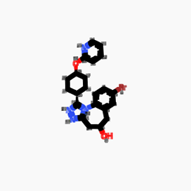 OC1Cc2cc(Br)ccc2-n2c(nnc2[C@H]2CC[C@H](Oc3ccccn3)CC2)C1